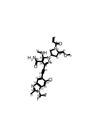 C=CC(=O)N1C[C@@H](n2nc(C#Cc3cc4nc(C)n(C(F)F)c4cc3Cl)c(C(N)=O)c2NC)C/C1=C\OC